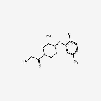 Cl.NCC(=O)N1CCC(Oc2cc(C(F)(F)F)ccc2F)CC1